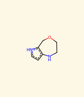 c1cc2c([nH]1)COCCN2